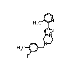 Cc1ccc(CN2CCn3nc(-c4ncccc4C)cc3C2)cc1F